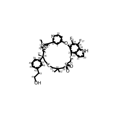 Cn1nc2nc1-c1cc(ccn1)Oc1c(F)c(F)c3[nH]ccc3c1CCS(=O)(=O)CC(C)(C)CCC[C@]2(C)c1cccc(CCO)c1